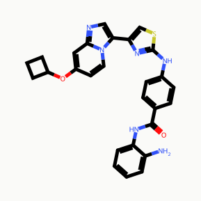 Nc1ccccc1NC(=O)c1ccc(Nc2nc(-c3cnc4cc(OC5CCC5)ccn34)cs2)cc1